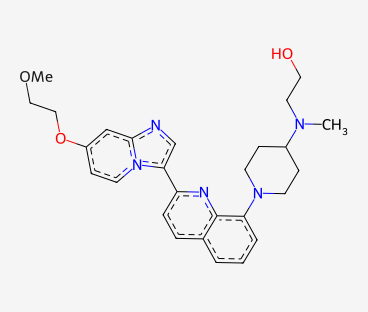 COCCOc1ccn2c(-c3ccc4cccc(N5CCC(N(C)CCO)CC5)c4n3)cnc2c1